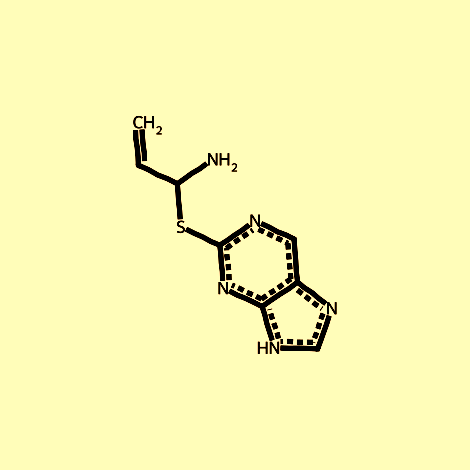 C=CC(N)Sc1ncc2nc[nH]c2n1